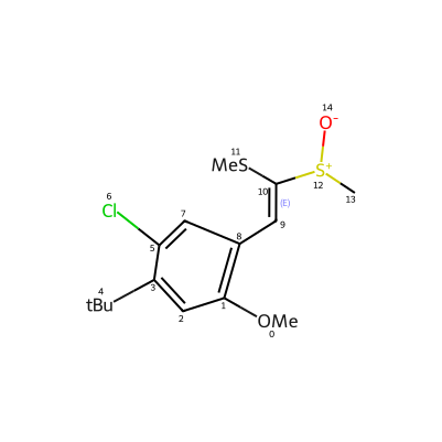 COc1cc(C(C)(C)C)c(Cl)cc1/C=C(\SC)[S+](C)[O-]